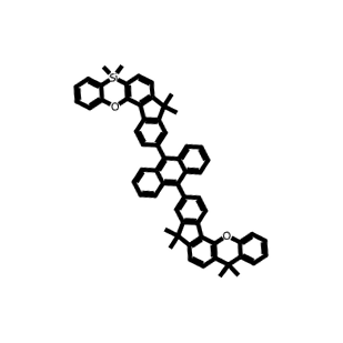 CC1(C)c2ccccc2Oc2c1ccc1c2-c2ccc(-c3c4ccccc4c(-c4ccc5c(c4)C(C)(C)c4ccc6c(c4-5)Oc4ccccc4[Si]6(C)C)c4ccccc34)cc2C1(C)C